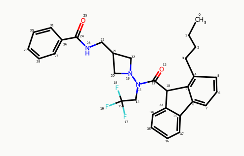 CCCCc1cccc2c1C(C(=O)N(CC(F)(F)F)N1CC(CNC(=O)c3ccccc3)C1)c1ccccc1-2